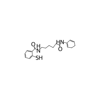 O=C(CCCCCNC(=O)c1ccccc1S)NC1=CCCC=C1